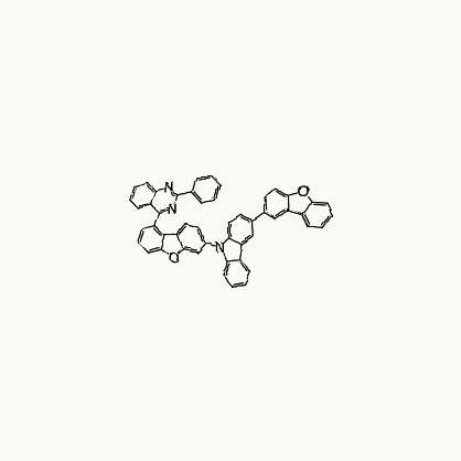 c1ccc(-c2nc(-c3cccc4oc5cc(-n6c7ccccc7c7cc(-c8ccc9oc%10ccccc%10c9c8)ccc76)ccc5c34)c3ccccc3n2)cc1